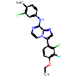 N#CCOc1ccc(-c2cnc3c(Nc4ccc(C=O)c(Cl)c4)nccn23)c(Cl)c1F